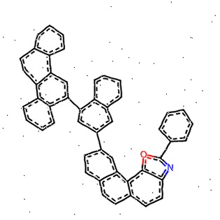 c1ccc(-c2nc3ccc4ccc5ccc(-c6cc(-c7cc8c9ccccc9ccc8c8ccccc78)c7ccccc7c6)cc5c4c3o2)cc1